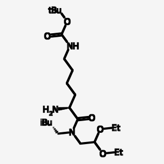 CCOC(CN(C[C@@H](C)CC)C(=O)[C@@H](N)CCCCNC(=O)OC(C)(C)C)OCC